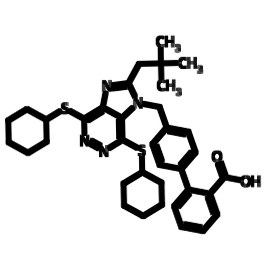 CC(C)(C)Cc1nc2c(SC3CCCCC3)nnc(SC3CCCCC3)c2n1Cc1ccc(-c2ccccc2C(=O)O)cc1